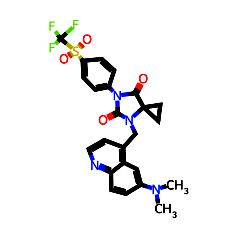 CN(C)c1ccc2nccc(CN3C(=O)N(c4ccc(S(=O)(=O)C(F)(F)F)cc4)C(=O)C34CC4)c2c1